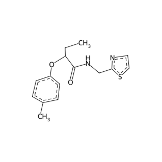 CCC(Oc1ccc(C)cc1)C(=O)NCc1nccs1